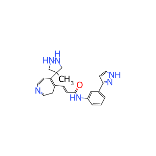 CC1(C2=C(/C=C/C(=O)Nc3cccc(-c4cc[nH]n4)c3)CC=NC=C2)CNNC1